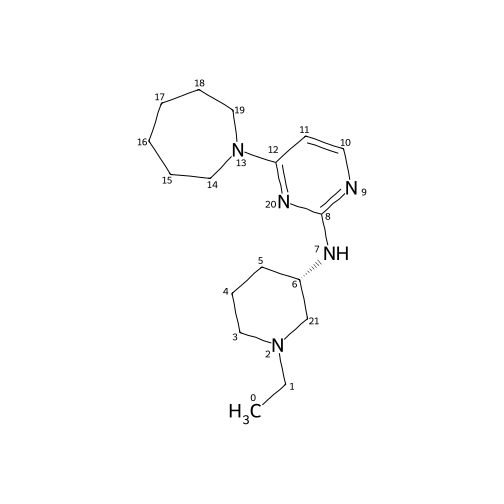 CCN1CCC[C@H](Nc2nccc(N3CCCCCC3)n2)C1